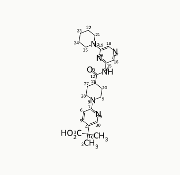 CC(C)(C(=O)O)c1ccc(N2CCC(C(=O)Nc3cncc(N4CCCCC4)n3)CC2)nc1